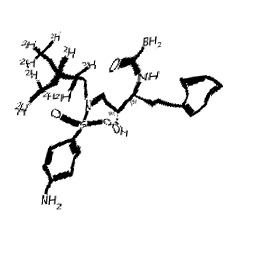 [2H]C([2H])([2H])C([2H])(C([2H])([2H])[2H])C([2H])([2H])N(C[C@@H](O)[C@H](Cc1ccccc1)NC(B)=O)S(=O)(=O)c1ccc(N)cc1